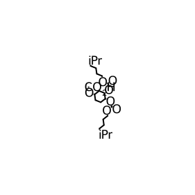 CC(C)CCCCOC(=O)OC1CCC(OC(=O)O)CC1OC(=O)OCCCCC(C)C